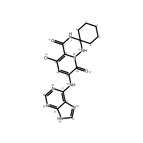 O=C1NC2(CCCCC2)Nn2c1c(Cl)cc(Nc1ncnc3[nH]cnc13)c2=O